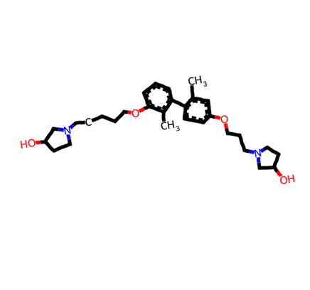 Cc1cc(OCCCN2CCC(O)C2)ccc1-c1cccc(OCCCCCN2CCC(O)C2)c1C